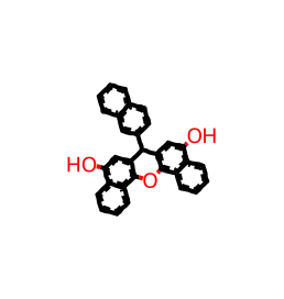 Oc1cc2c(c3ccccc13)Oc1c(cc(O)c3ccccc13)C2c1ccc2ccccc2c1